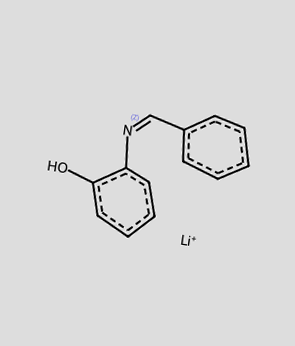 Oc1ccccc1/N=C\c1ccccc1.[Li+]